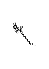 CCCCCCCCCCOCC(=O)c1c(O)c2cc(Cl)ccc2oc1=O